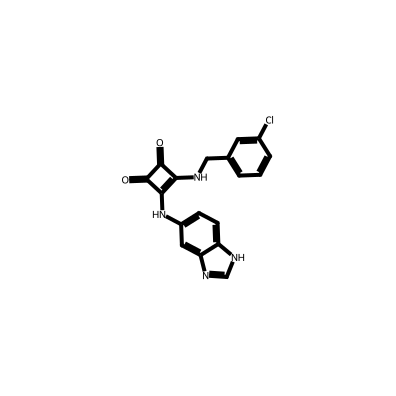 O=c1c(NCc2cccc(Cl)c2)c(Nc2ccc3[nH]cnc3c2)c1=O